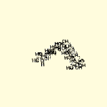 CC(=O)O.CC(=O)O.CC(=O)O.CC(=O)O.CC(=O)O.CC(=O)O.NNC[C@H](O)[C@@H](O)[C@H](O)CO.O=C[C@H](O)[C@@H](O)[C@H](O)CO